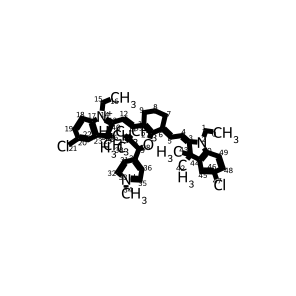 CCN1/C(=C/C=C2\CCCC(/C=C/C3=[N+](CC)c4ccc(Cl)cc4C3(C)C)=C2OC(c2cc[n+](C)cc2)C(C)(C)C)C(C)(C)c2cc(Cl)ccc21